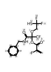 C=C(F)C(=O)OC(OCC(F)(F)S)(C(=O)NCc1ccccc1)C(F)(F)F